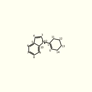 C1=C(n2ccc3ccccc32)CCCC1